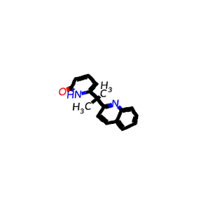 CC(C)(c1ccc2ccccc2n1)c1cccc(=O)[nH]1